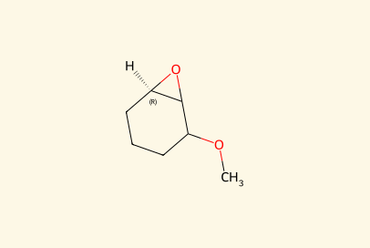 COC1CCC[C@H]2OC12